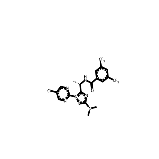 C[C@H](NC(=O)c1cc(C(F)(F)F)cc(C(F)(F)F)c1)c1nc(N(C)C)nn1-c1ncc(Cl)cn1